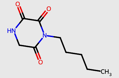 CCCCCN1C(=O)CNC(=O)C1=O